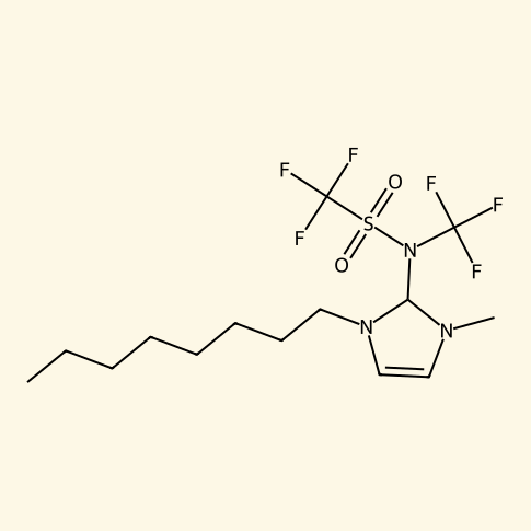 CCCCCCCCN1C=CN(C)C1N(C(F)(F)F)S(=O)(=O)C(F)(F)F